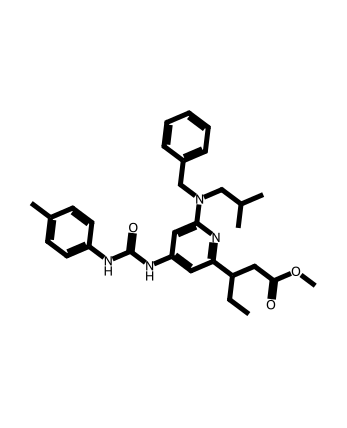 CCC(CC(=O)OC)c1cc(NC(=O)Nc2ccc(C)cc2)cc(N(Cc2ccccc2)CC(C)C)n1